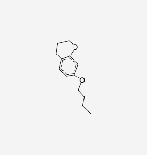 CCCCOc1ccc2c(c1)OCCC2